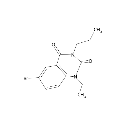 CCCn1c(=O)c2cc(Br)ccc2n(CC)c1=O